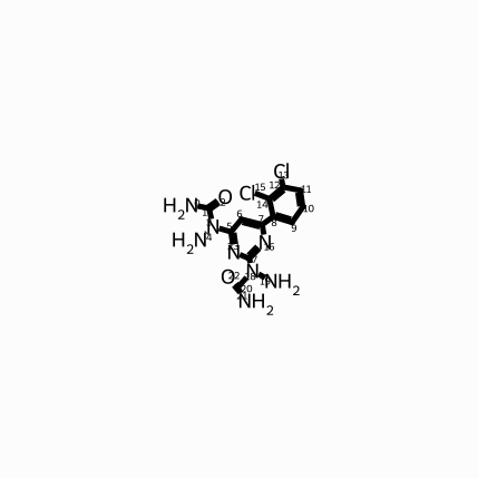 NC(=O)N(N)c1cc(-c2cccc(Cl)c2Cl)nc(N(N)C(N)=O)n1